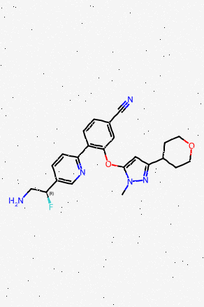 Cn1nc(C2CCOCC2)cc1Oc1cc(C#N)ccc1-c1ccc([C@@H](F)CN)cn1